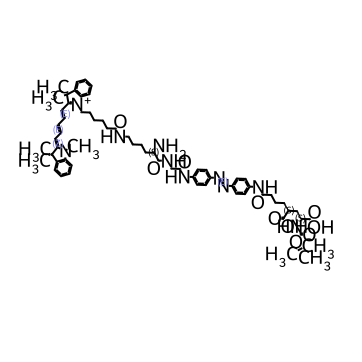 CN1\C(=C/C=C/C=C/C2=[N+](CCCCCC(=O)NCCCC[C@H](N)C(=O)NCC(=O)Nc3ccc(/N=N/c4ccc(NC(=O)CCC[C@@H](C[C@H](NC(=O)OC(C)(C)C)C(=O)O)C(=O)O)cc4)cc3)c3ccccc3C2(C)C)C(C)(C)c2ccccc21